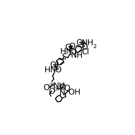 CCOC(=O)[C@H](CCCCNS(=O)(=O)c1ccc(SCC2Nc3cc(Cl)c(S(N)(=O)=O)cc3S(=O)(=O)N2)cc1)N[C@@H](C)C(=O)N1C(C(=O)O)CC2CCCCC21